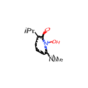 CNc1ccc(C(C)C)c(=O)n1O